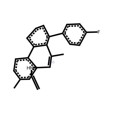 C=CN/C=C(/C)c1c(-c2ccc(C)cc2)cccc1-c1ccc(F)cc1